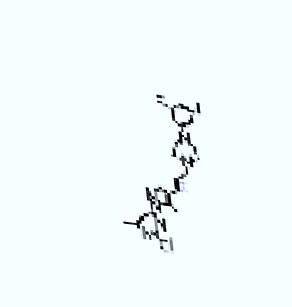 Cc1cc(-n2ncc(/C=C/CN3CCN(c4cc(F)cc(F)c4)CC3)c2C)nc(Cl)n1